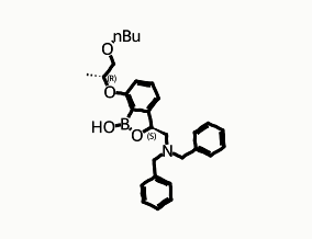 CCCCOC[C@@H](C)Oc1cccc2c1B(O)O[C@@H]2CN(Cc1ccccc1)Cc1ccccc1